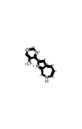 FC(F)(F)c1cncnc1C1=CC2=CC=CNCC2=N1